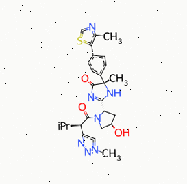 Cc1ncsc1-c1ccc([C@]2(C)NC([C@@H]3C[C@@H](O)CN3C(=O)[C@@H](c3cn(C)nn3)C(C)C)=NC2=O)cc1